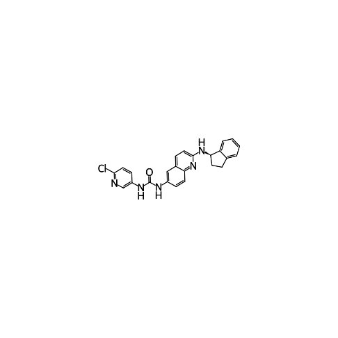 O=C(Nc1ccc(Cl)nc1)Nc1ccc2nc(N[C@@H]3CCc4ccccc43)ccc2c1